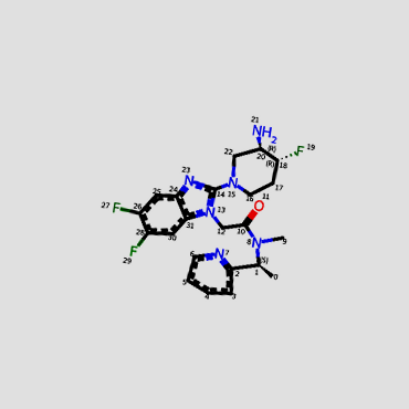 C[C@@H](c1ccccn1)N(C)C(=O)Cn1c(N2CC[C@@H](F)[C@H](N)C2)nc2cc(F)c(F)cc21